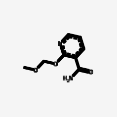 COCOc1ncccc1C(N)=O